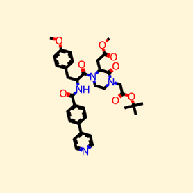 COC(=O)CC1C(=O)N(CC(=O)OC(C)(C)C)CCN1C(=O)C(Cc1ccc(OC)cc1)NC(=O)c1ccc(-c2ccncc2)cc1